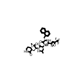 COC(=O)[C@H](C[C@@H]1CCCNC1=O)NC(=O)[C@H](CC(C)C)NC(=O)[C@H](Cc1cccc2ccccc12)NC(=O)c1cc(C(F)(F)F)on1